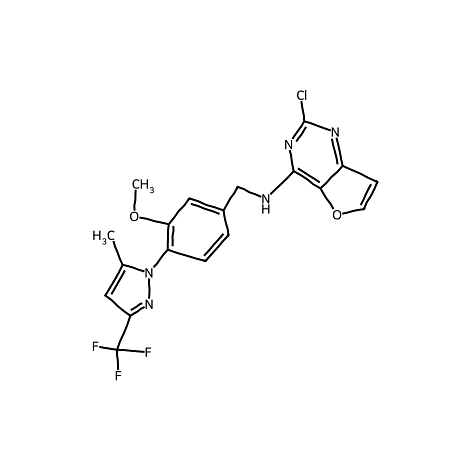 COc1cc(CNc2nc(Cl)nc3ccoc23)ccc1-n1nc(C(F)(F)F)cc1C